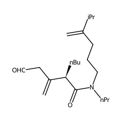 C=C(CCCN(CCC)C(=O)[C@H](CCCC)C(=C)CC=O)C(C)C